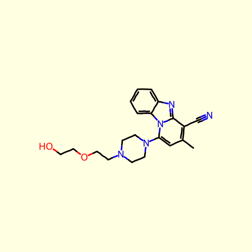 Cc1cc(N2CCN(CCOCCO)CC2)n2c(nc3ccccc32)c1C#N